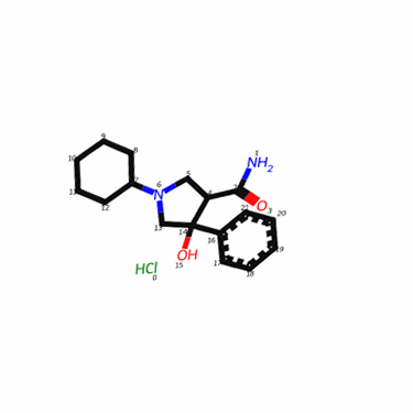 Cl.NC(=O)C1CN(C2CCCCC2)CC1(O)c1ccccc1